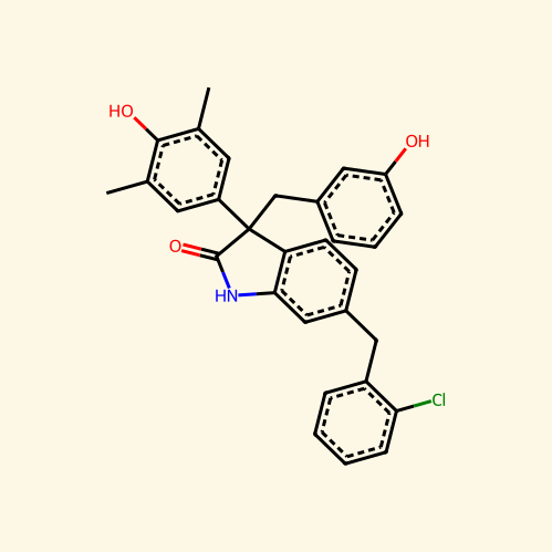 Cc1cc(C2(Cc3cccc(O)c3)C(=O)Nc3cc(Cc4ccccc4Cl)ccc32)cc(C)c1O